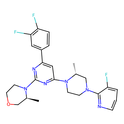 C[C@@H]1CN(c2ncccc2F)CCN1c1cc(-c2ccc(F)c(F)c2)nc(N2CCOC[C@@H]2C)n1